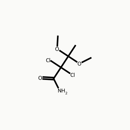 COC(C)(OC)C(Cl)(Cl)C(N)=O